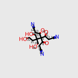 N#CCC(=O)C(C(=O)CC#N)(C(=O)CC#N)C(CO)(CO)CCO